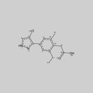 CCc1cc(-c2n[nH]cc2Cl)cc(C)c1CC(=O)O